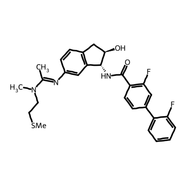 CSCCN(C)/C(C)=N/c1ccc2c(c1)[C@@H](NC(=O)c1ccc(-c3ccccc3F)cc1F)[C@H](O)C2